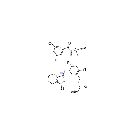 C#CC(C)(C)NC(=O)c1cc(Cl)cc(Cl)c1.COC(=O)CSc1cc(/N=c2\sc(=O)n3n2CCCC3)c(F)cc1Cl